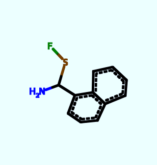 NC(SF)c1cccc2ccccc12